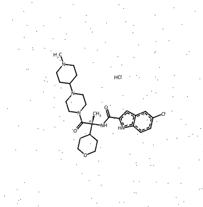 CN1CCC(N2CCN(C(=O)[C@](C)(NC(=O)c3cc4cc(Cl)ccc4[nH]3)C3CCOCC3)CC2)CC1.Cl